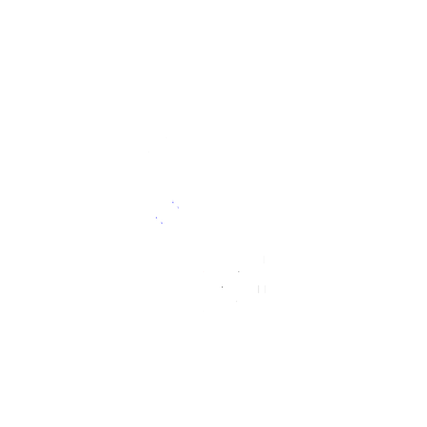 CC1(C)OB(c2cnn(C3CCC(O)CC3)c2)OC1(C)C